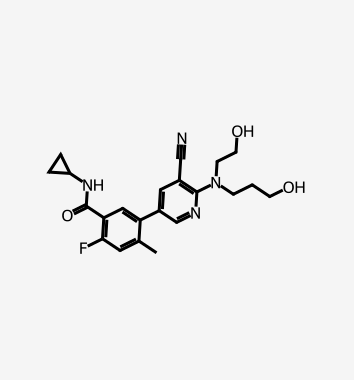 Cc1cc(F)c(C(=O)NC2CC2)cc1-c1cnc(N(CCO)CCCO)c(C#N)c1